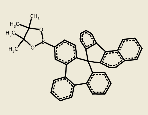 CC1(C)OB(c2ccc3c(c2)-c2ccccc2-c2ccccc2C32c3ccccc3-c3c2ccc2ccccc32)OC1(C)C